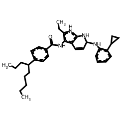 CCCCCC(CCC)c1ccc(C(=O)Nc2c(CC)[nH]c3c2C=CC(Nc2ccccc2C2CC2)N3)cc1